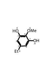 CCc1cc(O)c(OC)c(O)c1